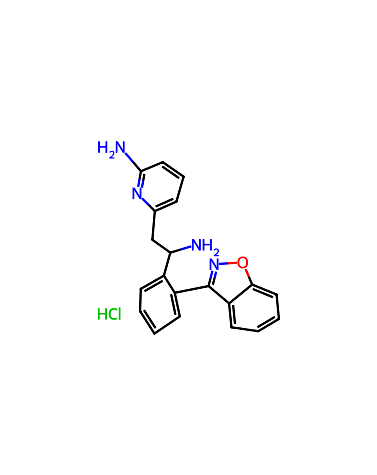 Cl.Nc1cccc(CC(N)c2ccccc2-c2noc3ccccc23)n1